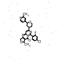 Cc1cc(C2CC(c3cc4nc5c(c(=O)n4c(-c4ccc(Cl)cc4F)n3)C(C)OC5)CCO2)ccn1